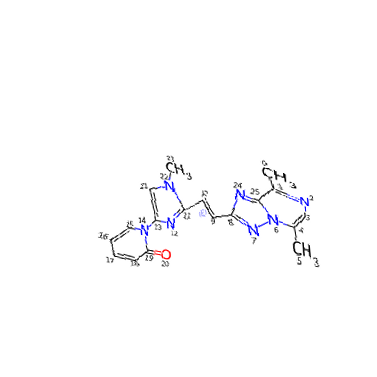 Cc1ncc(C)n2nc(/C=C/c3nc(-n4ccccc4=O)cn3C)nc12